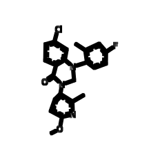 COc1ccc(N2CN(c3ccc(F)cc3C)c3cc(Cl)ccc3C2=O)c(C)n1